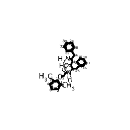 Cc1cccc(C)c1OCC(=O)NC(Cc1ccccc1)[C@@H](O)CC(N)Cc1ccccc1